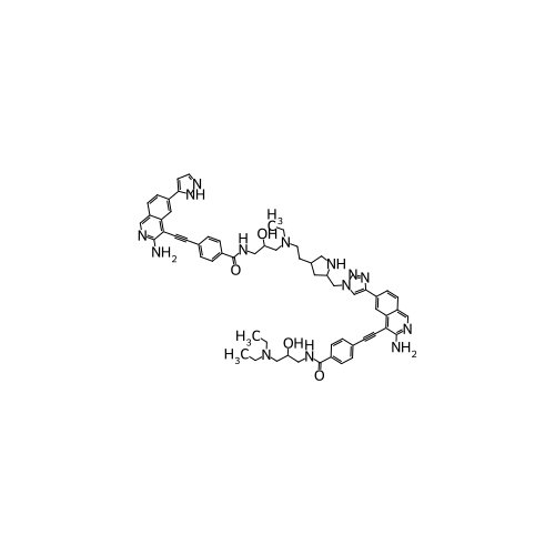 CCN(CC)CC(O)CNC(=O)c1ccc(C#Cc2c(N)ncc3ccc(-c4cn(CC5CC(CCN(CC)CC(O)CNC(=O)c6ccc(C#Cc7c(N)ncc8ccc(-c9ccn[nH]9)cc78)cc6)CN5)nn4)cc23)cc1